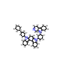 c1ccc(-c2ccc(-n3c4ccccc4c4c5c6ccccc6n(-c6cccc(-n7c8ccccc8c8ccncc87)c6)c5ccc43)cc2)cc1